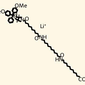 COc1ccc(C(OC[C@@]2(C)CN(C(=O)CCCCCCCCC(=O)NCCCCCCCCCCCC(=O)NCCCCCCCCCCCC(=O)[O-])C[C@@]2(C)CO)(c2ccccc2)c2ccc(OC)cc2)cc1.[Li+]